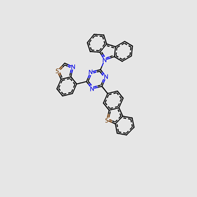 c1cc(-c2nc(-c3ccc4c(c3)sc3ccccc34)nc(-n3c4ccccc4c4ccccc43)n2)c2ncsc2c1